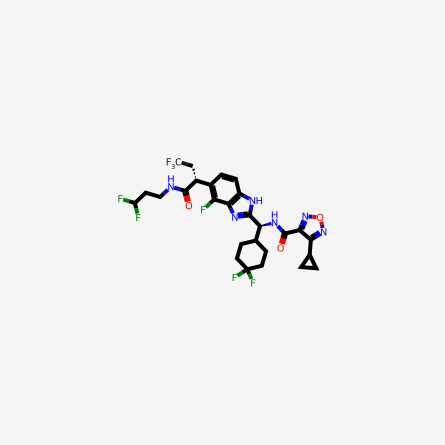 O=C(N[C@H](c1nc2c(F)c([C@@H](CC(F)(F)F)C(=O)NCCC(F)F)ccc2[nH]1)C1CCC(F)(F)CC1)c1nonc1C1CC1